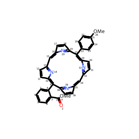 COC(=O)c1ccccc1C1=C2C=CC(=N2)C=C2C=CC(=N2)C(c2ccc(OC)cc2)=C2C=CC(=N2)C=C2C=CC1=N2